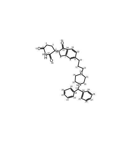 O=C1CCC(N2Cc3cc(CCCN4CCN(C(c5ccccc5)c5ccccc5)CC4)ccc3C2=O)C(=O)N1